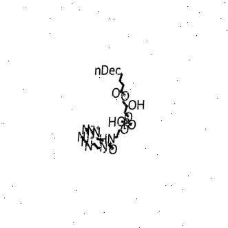 CCCCCCCCCCCCCC(=O)OC[C@@H](O)COP(=O)(O)OCCNC(=O)[N+](C)(CCN=[N+]=[N-])CCN=[N+]=[N-]